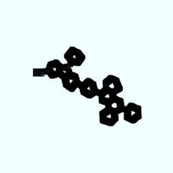 N#Cc1ccc2c(c1)c1ccc(-c3ccc(-c4cc5c6ccccc6c(-c6ccccc6)cc5c5ccccc45)cc3)cc1n2-c1ccccc1